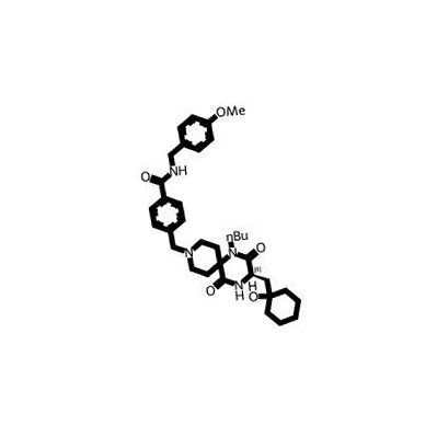 CCCCN1C(=O)[C@@H](CC2(O)CCCCC2)NC(=O)C12CCN(Cc1ccc(C(=O)NCc3ccc(OC)cc3)cc1)CC2